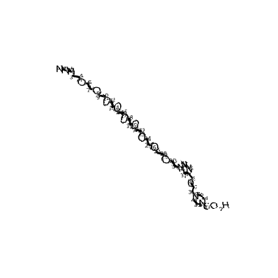 [N-]=[N+]=NCCOCCOCCOCCOCCOCCOCCOCCOCCOCCn1cc(COCCN2CCN(C(=O)O)CC2)nn1